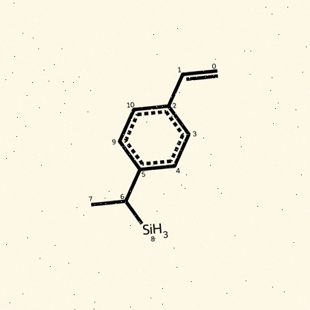 C=Cc1ccc(C(C)[SiH3])cc1